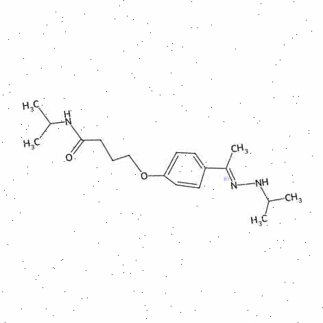 C/C(=N\NC(C)C)c1ccc(OCCCC(=O)NC(C)C)cc1